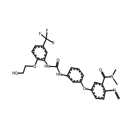 C=Nc1ccc(Oc2cccc(NC(=O)Nc3cc(C(F)(F)F)ccc3OCCO)c2)cc1C(=O)N(C)C